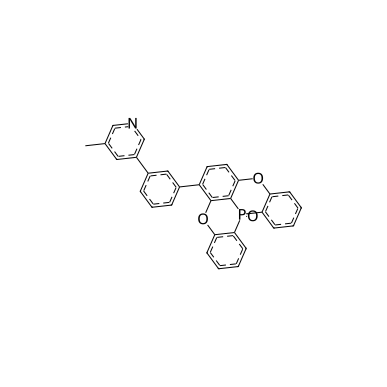 Cc1cncc(-c2cccc(-c3ccc4c5c3Oc3ccccc3P5(=O)c3ccccc3O4)c2)c1